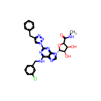 CNC(=O)C1O[C@@H](n2cnc3c(NCc4cccc(Cl)c4)nc(-n4cc(Cc5ccccc5)nn4)nc32)[C@H](O)[C@@H]1O